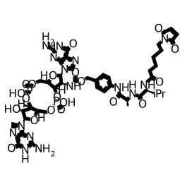 CC(C)[C@H](NC(=O)CCCCCN1C(=O)C=CC1=O)C(=O)N[C@@H](C)C(=O)Nc1ccc(COC(=O)N[C@H]2[C@H]3OP(=O)(O)OC[C@H]4O[C@@H](n5cnc6c(=O)[nH]c(N)nc65)[C@@H](O)[C@@H]4OP(=O)(O)OC[C@H]3O[C@H]2n2cnc3c(=O)[nH]c(N)nc32)cc1